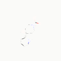 CC(C)(C)OC(=O)N1CCC2(c3ccccn3)OC2C1